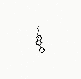 CCCCc1ccc2c(F)c(-c3ccccc3)ccc2c1